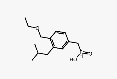 CCOCc1ccc(C[PH](=O)O)cc1CC(C)C